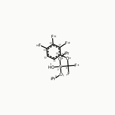 CC(C)O[Si](O)(OC(C)C)C(F)(F)Oc1ccc(F)c(F)c1F